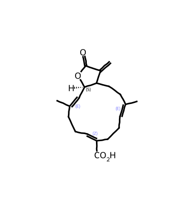 C=C1C(=O)O[C@@H]2/C=C(\C)CC/C=C(\C(=O)O)CC/C=C(\C)CCC12